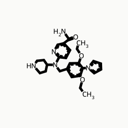 CCOc1cc(CN(c2ccc(C(N)=O)cn2)C2CCNCC2)cc(OCC)c1-n1cccc1